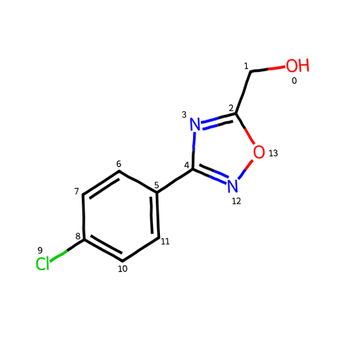 OCc1nc(-c2ccc(Cl)cc2)no1